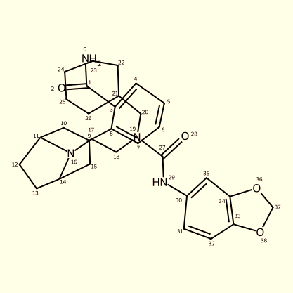 NC(=O)c1ccccc1C1CC2CCC(C1)N2CCN(CC1CCCCC1)C(=O)Nc1ccc2c(c1)OCO2